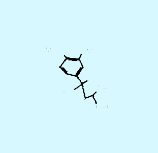 CCCCC(O)CC(CCC)(C(=O)O)c1ccc(OC)c(OC)c1